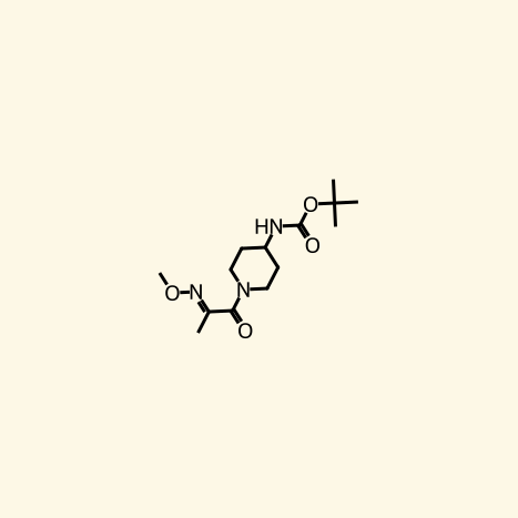 CON=C(C)C(=O)N1CCC(NC(=O)OC(C)(C)C)CC1